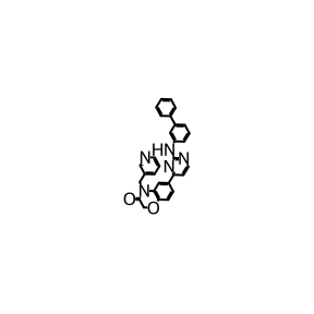 O=C1COc2ccc(-c3ccnc(Nc4cccc(-c5ccccc5)c4)n3)cc2N1Cc1cccnc1